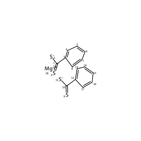 S=C([S-])c1ccccc1.S=C([S-])c1ccccc1.[Mg+2]